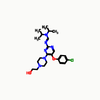 CC(C)N(C=Nc1ncc(Oc2ccc(Cl)cc2)c(N2CCN(CCO)CC2)n1)C(C)C